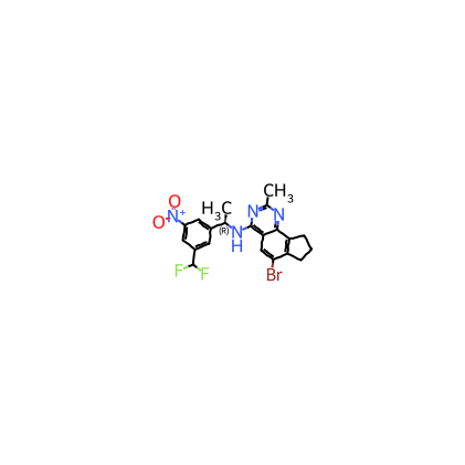 Cc1nc(N[C@H](C)c2cc(C(F)F)cc([N+](=O)[O-])c2)c2cc(Br)c3c(c2n1)CCC3